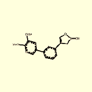 COc1cc(-c2cccc(C3=COB(O)C3)c2)cnc1OC